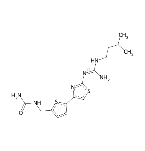 CC(C)CCN/C(N)=N/c1nc(-c2ccc(CNC(N)=O)s2)cs1